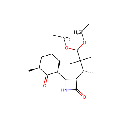 C[SiH2]OC(O[SiH2]C)C(C)(C)[C@H](C)[C@H]1C(=O)N[C@@H]1[C@@H]1CCC[C@H](C)C1=O